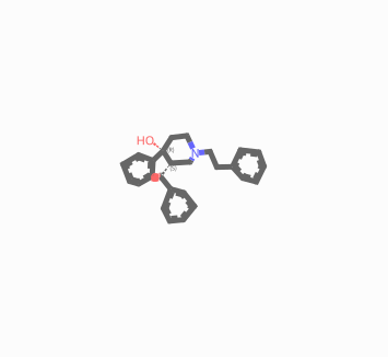 O=C(c1ccccc1)[C@H]1CN(CCc2ccccc2)CC[C@]1(O)c1ccccc1